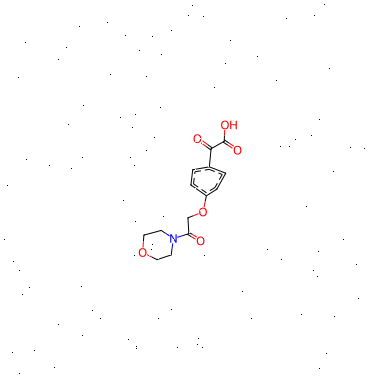 O=C(O)C(=O)c1ccc(OCC(=O)N2CCOCC2)cc1